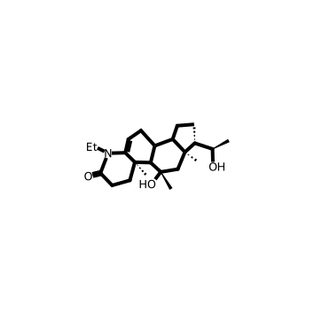 CCN1C(=O)CC[C@@]2(C)C1=CCC1C2[C@@](C)(O)C[C@@]2(C)C1CC[C@@H]2[C@@H](C)O